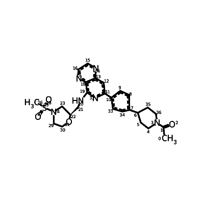 CC(=O)N1CCC(c2ccc(-c3cc4nccnc4c(NC[C@@H]4CN(S(C)(=O)=O)CCO4)n3)cc2)CC1